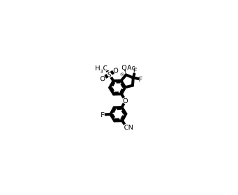 CC(=O)O[C@H]1c2c(S(C)(=O)=O)ccc(Oc3cc(F)cc(C#N)c3)c2CC1(F)F